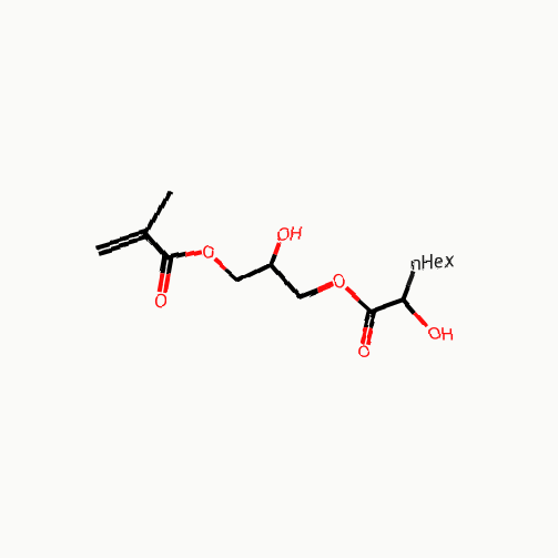 C=C(C)C(=O)OCC(O)COC(=O)C(O)CCCCCC